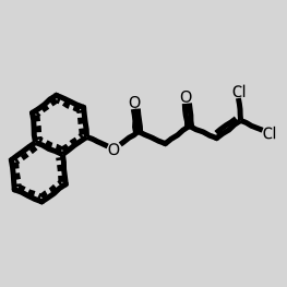 O=C(C=C(Cl)Cl)CC(=O)Oc1cccc2ccccc12